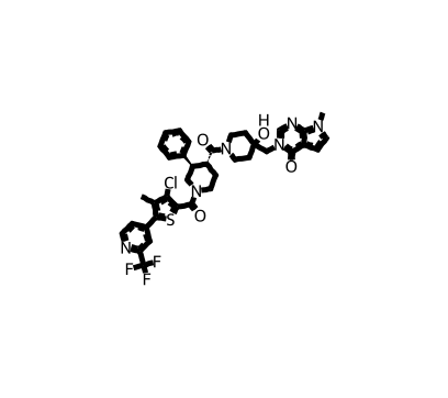 Cc1c(-c2ccnc(C(F)(F)F)c2)sc(C(=O)N2CC[C@@H](C(=O)N3CCC(O)(Cn4cnc5c(ccn5C)c4=O)CC3)[C@H](c3ccccc3)C2)c1Cl